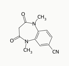 CN1C(=O)CC(=O)N(C)c2cc(C#N)ccc21